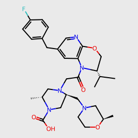 CC(C)[C@H]1COc2ncc(Cc3ccc(F)cc3)cc2N1C(=O)CN1C[C@@H](C)N(C(=O)O)C[C@@H]1CN1CCO[C@H](C)C1